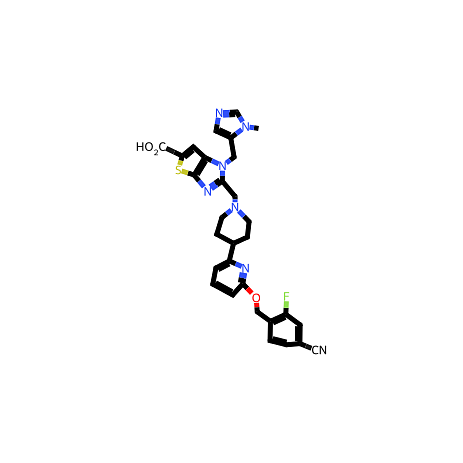 Cn1cncc1Cn1c(CN2CCC(c3cccc(OCc4ccc(C#N)cc4F)n3)CC2)nc2sc(C(=O)O)cc21